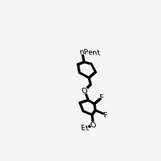 CCCCCC1CCC(COC2CCC(OCC)C(F)C2F)CC1